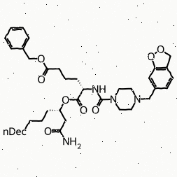 CCCCCCCCCCCCC[C@@H](CC(N)=O)OC(=O)[C@H](CCCC(=O)OCc1ccccc1)NC(=O)N1CCN(Cc2ccc3c(c2)OOC3)CC1